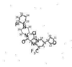 O=C(c1nc2c(C(F)(F)F)cc(-c3ccoc3)cn2c1Cl)N1CCN(c2ccccc2F)CC1